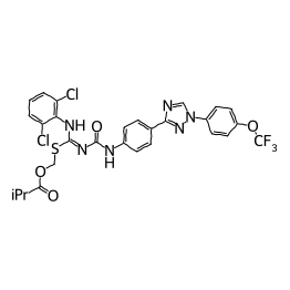 CC(C)C(=O)OCS/C(=N/C(=O)Nc1ccc(-c2ncn(-c3ccc(OC(F)(F)F)cc3)n2)cc1)Nc1c(Cl)cccc1Cl